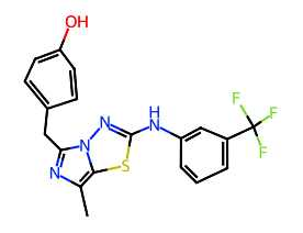 Cc1nc(Cc2ccc(O)cc2)n2nc(Nc3cccc(C(F)(F)F)c3)sc12